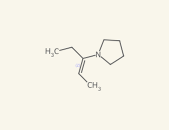 C/C=C(/CC)N1CCCC1